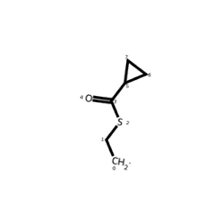 [CH2]CSC(=O)C1CC1